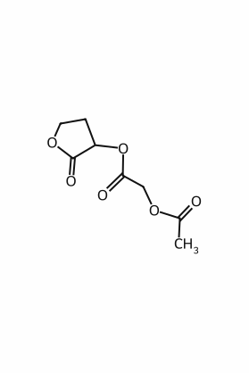 CC(=O)OCC(=O)OC1CCOC1=O